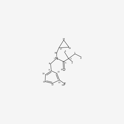 CCC(C)(C)C(=O)N(Cc1cccc(F)c1)CC1CC1